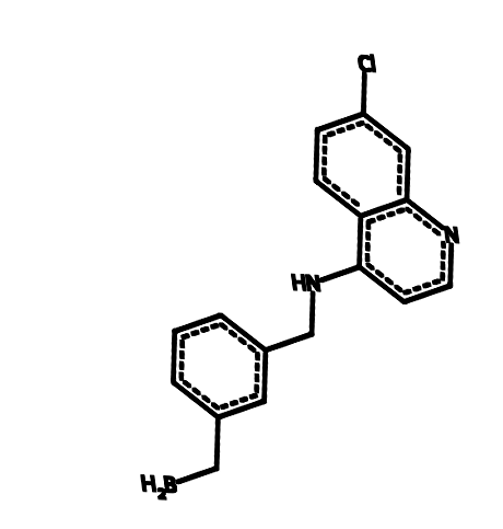 BCc1cccc(CNc2ccnc3cc(Cl)ccc23)c1